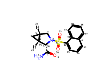 NC(=O)[C@@H]1[C@@H]2C[C@@H]2CN1S(=O)(=O)c1cccc2ccccc12